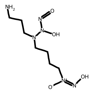 NCCCN(CCCC/[N+]([O-])=N\O)N(O)N=O